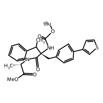 COC(=O)[C@H](C)NC(=O)[C@@](Cc1ccc(-c2ccsc2)cc1)(NC(=O)OC(C)(C)C)[C](C)c1ccccc1